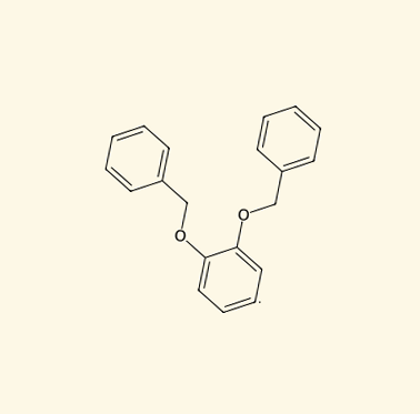 [c]1ccc(OCc2ccccc2)c(OCc2ccccc2)c1